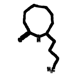 CCCCC1CCCCCCC(=O)N1